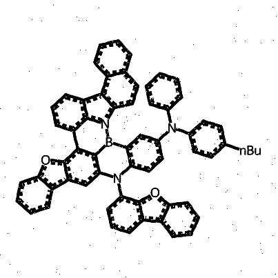 CCCCc1ccc(N(c2ccccc2)c2ccc3c(c2)B2c4c(cc5c(oc6ccccc65)c4-c4cccc5c6c7ccccc7ccc6n2c45)N3c2cccc3c2oc2ccccc23)cc1